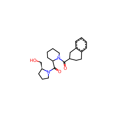 O=C(C1CCc2ccccc2C1)N1CCCCC1C(=O)N1CCC[C@H]1CO